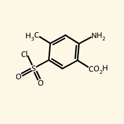 Cc1cc(N)c(C(=O)O)cc1S(=O)(=O)Cl